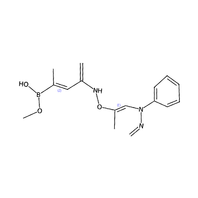 C=NN(/C=C(\C)ONC(=C)/C=C(\C)B(O)OC)c1ccccc1